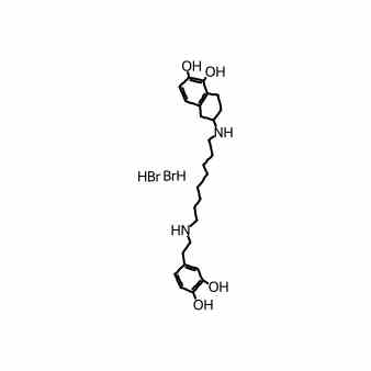 Br.Br.Oc1ccc(CCNCCCCCCCCNC2CCc3c(ccc(O)c3O)C2)cc1O